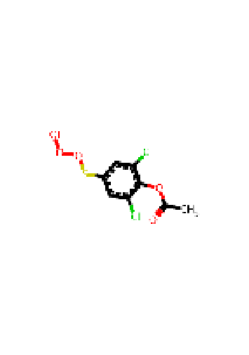 CC(=O)Oc1c(Cl)cc(SOOO)cc1Cl